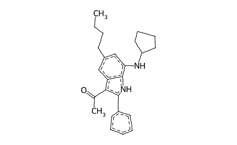 CCCCc1cc(NC2CCCC2)c2[nH]c(-c3ccccc3)c(C(C)=O)c2c1